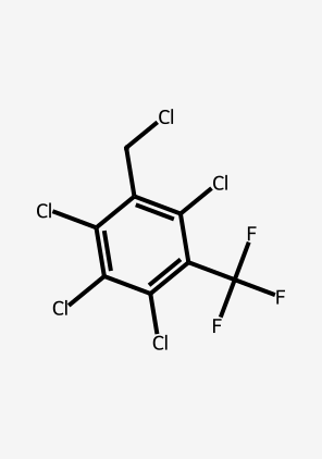 FC(F)(F)c1c(Cl)c(Cl)c(Cl)c(CCl)c1Cl